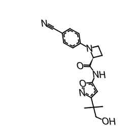 CC(C)(CO)c1cc(NC(=O)[C@@H]2CCN2c2ccc(C#N)cc2)on1